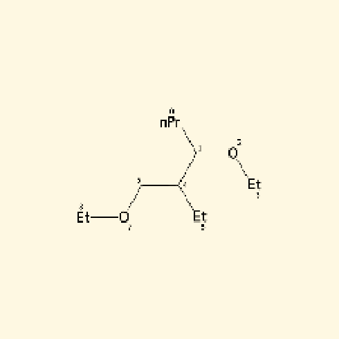 CCCC(OCC)C(CC)COCC